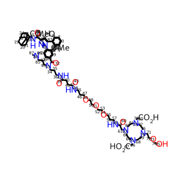 COc1cccc(OC)c1-c1cc(C(=O)NC2(C(=O)O)C3CC4CC(C3)CC2C4)nn1-c1ccc(C(=O)N(CCCNC(=O)CCC(=O)NCCCOCCOCCOCCCNC(=O)CN2CCN(CC(=O)O)CCN(CCOCO)CCN(CC(=O)O)CC2)CCCN(C)C)cc1C(C)C